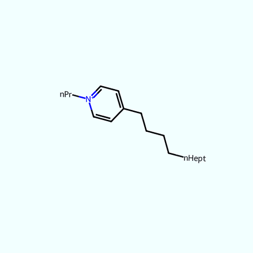 CCCCCCCCCCCc1cc[n+](CCC)cc1